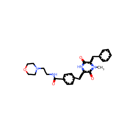 Cn1c(=O)c(=Cc2ccc(C(=O)NCCN3CCOCC3)cc2)[nH]c(=O)c1=Cc1ccccc1